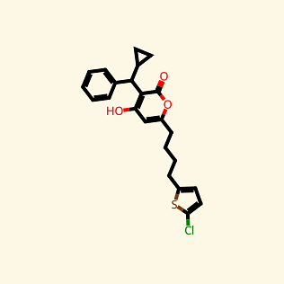 O=c1oc(CCCCc2ccc(Cl)s2)cc(O)c1C(c1ccccc1)C1CC1